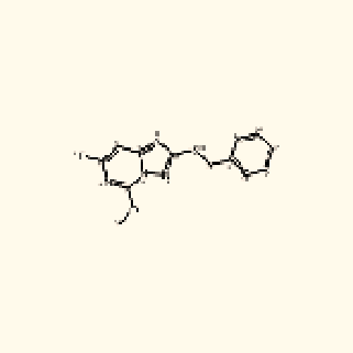 COc1nc(F)cc2nc(SCc3ccccc3)nn12